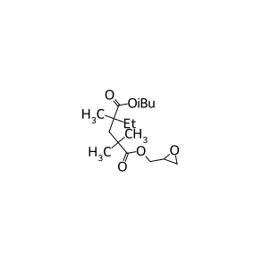 CCC(C)(CC(C)(C)C(=O)OCC1CO1)C(=O)OCC(C)C